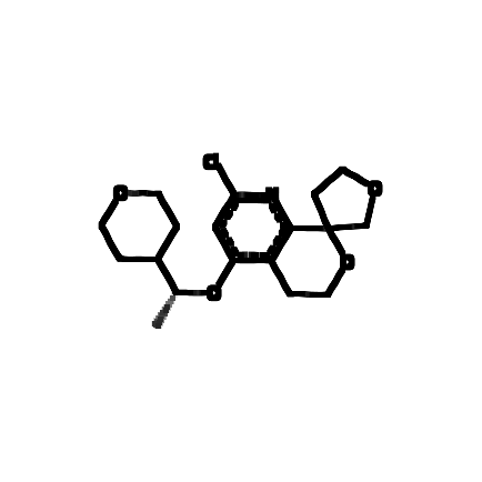 C[C@@H](Oc1cc(Cl)nc2c1CCOC21CCOC1)C1CCOCC1